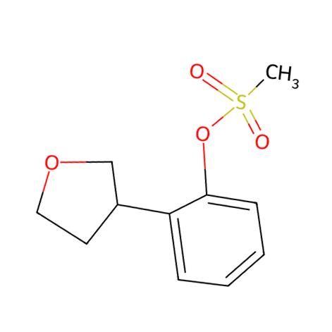 CS(=O)(=O)Oc1ccccc1C1CCOC1